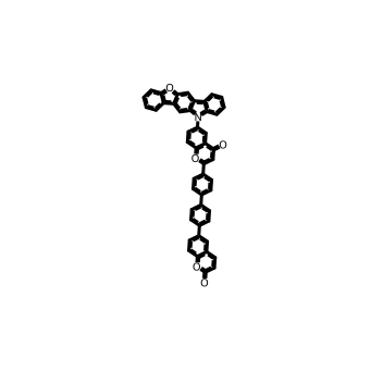 O=c1ccc2cc(-c3ccc(-c4ccc(-c5cc(=O)c6cc(-n7c8ccccc8c8cc9oc%10ccccc%10c9cc87)ccc6o5)cc4)cc3)ccc2o1